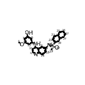 COc1cc(O)cc(Nc2ccnc3ccc(N=S(C)(=O)c4ccc5ccccc5c4)cc23)c1